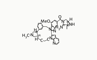 COc1cc(C(=O)N2C[C@H]3N[C@]3(I)[C@H]2N)cc2nc3n(c12)Cc1cccc(c1)[C@@H]1CN(C)C[C@@H]1CCCCn1c-3cc2cccnc21